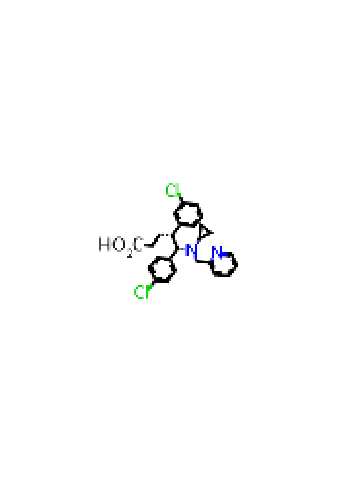 O=C(O)CC[C@H](c1cccc(Cl)c1)[C@@H](c1ccc(Cl)cc1)N(Cc1ccccn1)C1CC1